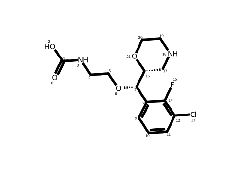 O=C(O)NCCO[C@@H](c1cccc(Cl)c1F)[C@H]1CNCCO1